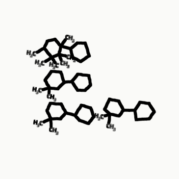 CC1(C)CCCC(C2CCCCC2)C1.CC1(C)CCCC(C2CCCCC2)C1.CC1(C)CCCC(C2CCCCC2)C1.CC1CCC(C)(C2CCCCC2)C(C)(C)C1(C)C